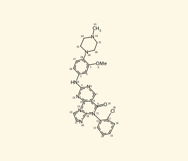 COc1cc(Nc2ncc3c(=O)n(-c4ccccc4Cl)c4nccn4c3n2)ccc1N1CCN(C)CC1